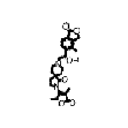 CC1=C(N2CCC3(CCN(C[C@@H](O)c4ccc5c(c4C)COC5=O)CC3)C2=O)C(C)OC1=O